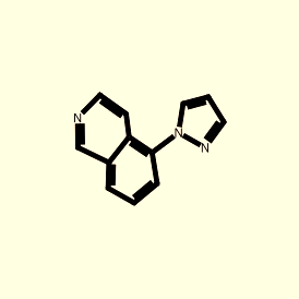 c1cc(-n2cccn2)c2ccncc2c1